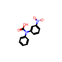 O=C(O)N(c1ccccc1)c1cccc([N+](=O)[O-])c1